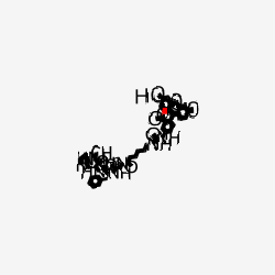 CNC(=O)[C@H](Cc1ncc[nH]1)NC(=O)[C@H](Cc1ccccc1)NC(=O)CNC(=O)CCCCCNC(=O)Nc1ccc(-c2c3ccc(=O)cc-3oc3cc(O)ccc23)c(C(=O)O)c1